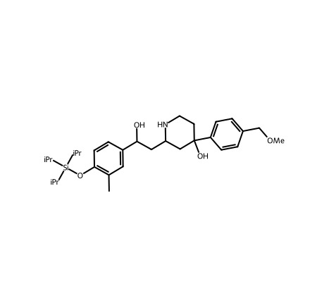 COCc1ccc(C2(O)CCNC(CC(O)c3ccc(O[Si](C(C)C)(C(C)C)C(C)C)c(C)c3)C2)cc1